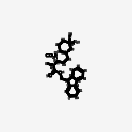 CN(C(=O)OCC1c2ccccc2-c2ccccc21)[C@@H](CCN1CCCC(F)(F)C1)C(=O)O